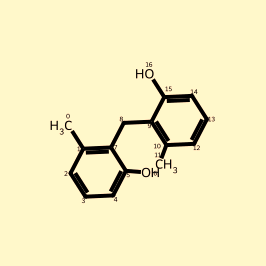 Cc1cccc(O)c1Cc1c(C)cccc1O